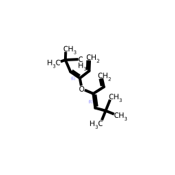 C=C/C(=C\C(C)(C)C)O/C(C=C)=C/C(C)(C)C